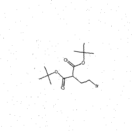 CC(C)(C)OC(=O)C(CCBr)C(=O)OC(C)(C)C